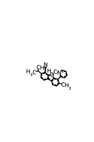 Cc1ccc2c(oc3c(C#N)c(C(C)C)ccc32)c1-c1cccc[n+]1C